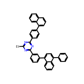 CCc1nc(-c2ccc(-c3cccc4ccccc34)cc2)nc(-c2cccc(-c3ccc(-c4ccccc4)c4ccccc34)c2)n1